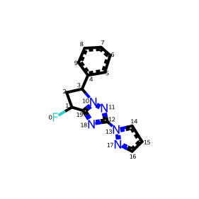 FC1CC(c2ccccc2)n2nc(-n3cccn3)nc21